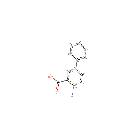 O=C(O)c1cc(-c2ccccc2)ccc1I